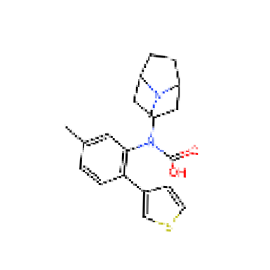 Cc1ccc(-c2ccsc2)c(N(C(=O)O)C2CC3CCC(C2)N3C)c1